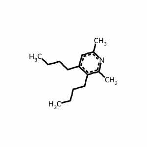 CCCCc1cc(C)nc(C)c1CCCC